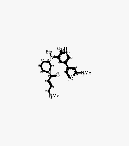 CCN(c1cc(-c2ccnc(NC)c2)c[nH]c1=O)[C@H]1CCCN(C(=O)C=CCNC)C1